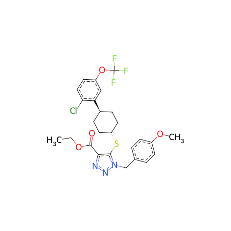 CCOC(=O)c1nnn(Cc2ccc(OC)cc2)c1S[C@H]1CC[C@H](c2cc(OC(F)(F)F)ccc2Cl)CC1